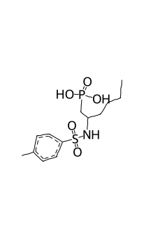 CCCCC(CP(=O)(O)O)NS(=O)(=O)c1ccc(C)cc1